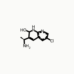 C[C@H](N)C1=Cc2cc(Cl)cnc2NC1O